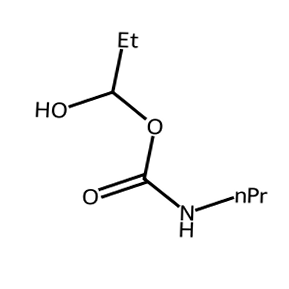 CCCNC(=O)OC(O)CC